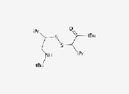 CC(C)C(CNC(C)(C)C)SSC(C(=O)C(C)(C)C)C(C)C